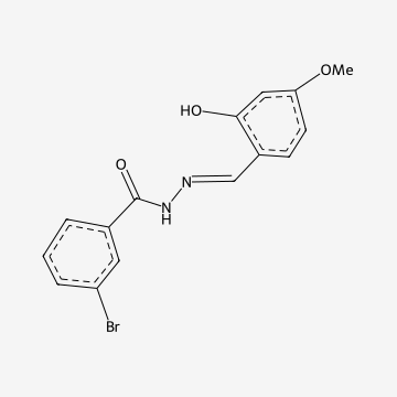 COc1ccc(/C=N/NC(=O)c2cccc(Br)c2)c(O)c1